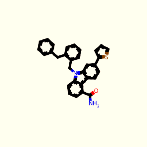 NC(=O)c1cccc2c1c1[c]cc(-c3cccs3)cc1n2Cc1ccccc1Cc1ccccc1